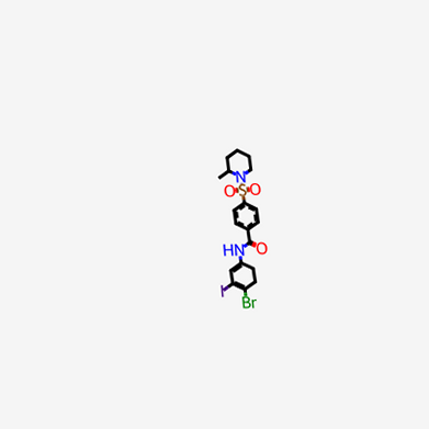 CC1CCCCN1S(=O)(=O)c1ccc(C(=O)NC2=CC(I)=C(Br)CC2)cc1